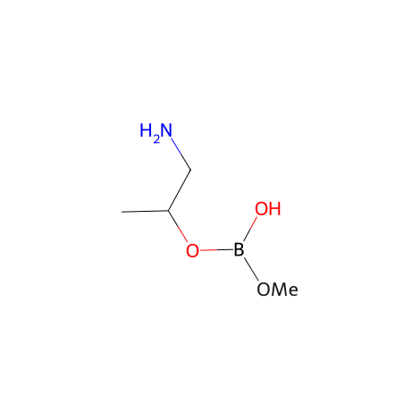 COB(O)OC(C)CN